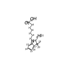 CC1N(CCCCCCC(=O)O)c2ccccc2C1(C)C.I